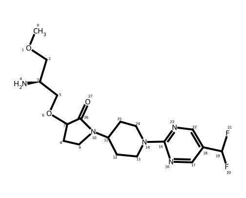 COC[C@H](N)COC1CCN(C2CCN(c3ncc(C(F)F)cn3)CC2)C1=O